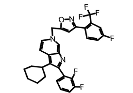 Fc1ccc(-c2cc(Cn3ccc4c(C5CCCCC5)c(-c5cccc(F)c5F)nc-4c3)on2)c(C(F)(F)F)c1